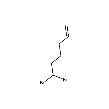 C=CCCCC(Br)Br